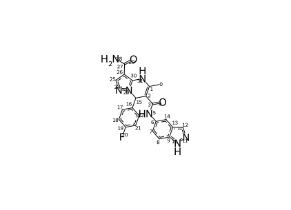 CC1=C(C(=O)Nc2ccc3[nH]ncc3c2)C(c2ccc(F)cc2)n2ncc(C(N)=O)c2N1